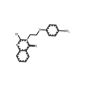 CCc1nc2ccccc2c(=O)n1CCOc1ccc([N+](=O)[O-])cc1